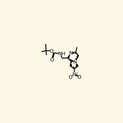 Cc1cn2cc([N+](=O)[O-])cc2c(CNC(=O)OC(C)(C)C)n1